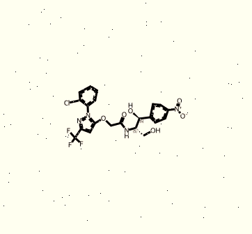 O=C(COc1cc(C(F)(F)F)nn1-c1ccccc1Cl)N[C@@H](CO)[C@@H](O)c1ccc([N+](=O)[O-])cc1